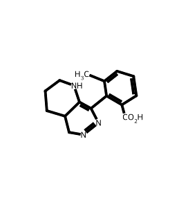 Cc1cccc(C(=O)O)c1C1=C2NCCCC2CN=N1